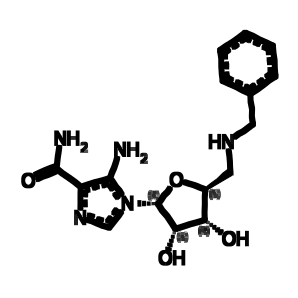 NC(=O)c1ncn([C@@H]2O[C@@H](CNCc3ccccc3)[C@H](O)[C@@H]2O)c1N